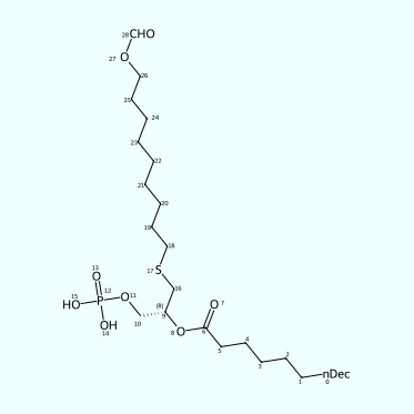 CCCCCCCCCCCCCCCC(=O)O[C@H](COP(=O)(O)O)CSCCCCCCCCCOC=O